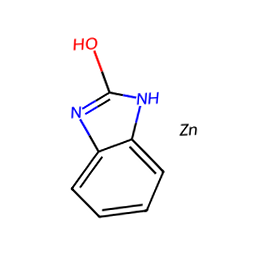 Oc1nc2ccccc2[nH]1.[Zn]